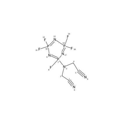 N#CCN(CC#N)P1(F)=NP(F)(F)=NP(F)(F)=N1